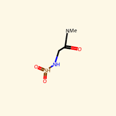 CNC(=O)CN[SH](=O)=O